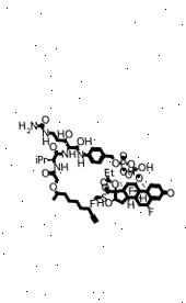 C#CCCCCCC(C)OCC(=O)N[C@H](C(=O)N[C@H](C(O)Nc1ccc(COP(=O)(O)OP(=O)(O)O[C@H]2C[C@@]3(C)[C@@H](C[C@@H](O)[C@]3(OC(=O)CC)C(=O)SCF)[C@@H]3C[C@H](F)C4=CC(=O)C=C[C@]4(C)[C@@]23F)cc1)[C@H](O)CCNC(N)=O)C(C)C